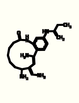 C=C(CC)Nc1ccc2c(c1)NC(=O)CCCCCC(N)C(=C/N)/C=C/2N